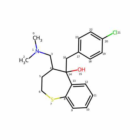 CN(C)CC1CCSc2ccccc2C1(O)Cc1ccc(Cl)cc1